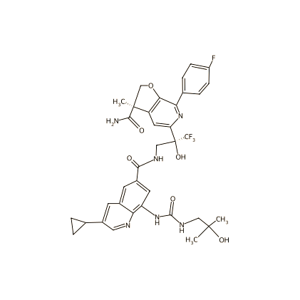 CC(C)(O)CNC(=O)Nc1cc(C(=O)NC[C@](O)(c2cc3c(c(-c4ccc(F)cc4)n2)OC[C@]3(C)C(N)=O)C(F)(F)F)cc2cc(C3CC3)cnc12